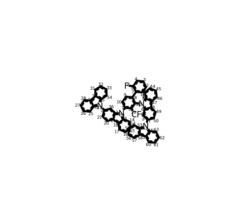 Fc1cccc(F)c1-c1ccc(-n2c3ccccc3c3ccc(-n4c5ccccc5c5ccccc54)cc32)c(C(F)(F)F)c1-n1c2ccccc2c2ccc(-n3c4ccccc4c4ccccc43)cc21